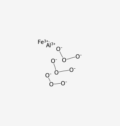 [Al+3].[Fe+3].[O-]O[O-].[O-]O[O-].[O-]O[O-]